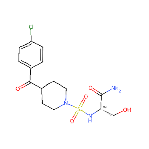 NC(=O)[C@H](CO)NS(=O)(=O)N1CCC(C(=O)c2ccc(Cl)cc2)CC1